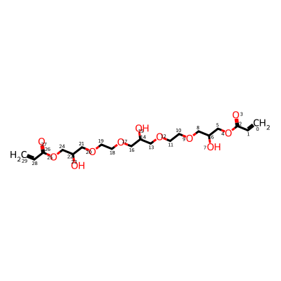 C=CC(=O)OCC(O)COCCOCC(O)COCCOCC(O)COC(=O)C=C